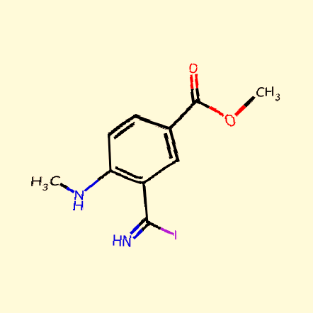 CNc1ccc(C(=O)OC)cc1C(=N)I